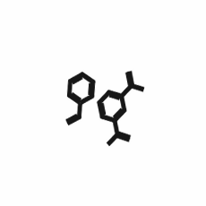 C=C(C)c1cccc(C(=C)C)c1.C=Cc1ccccc1